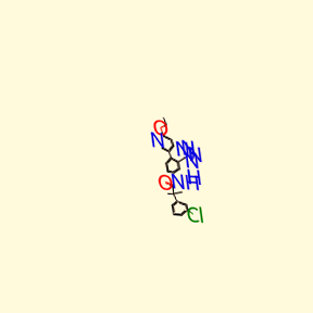 CCOc1ccc(-c2ccc(NC(=O)C(C)(C)c3cccc(Cl)c3)cc2-c2nnn[nH]2)cn1